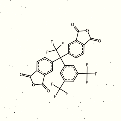 O=C1OC(=O)c2cc(C(c3cc(C(F)(F)F)cc(C(F)(F)F)c3)(c3ccc4c(c3)C(=O)OC4=O)C(F)(F)F)ccc21